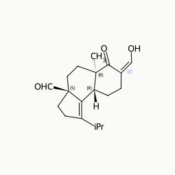 CC(C)C1=C2[C@H]3CC/C(=C/O)C(=O)[C@]3(C)CC[C@@]2(C=O)CC1